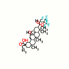 CC12CCC3C(=CC(=O)C4C3(C)CCC3C(C)(C)C(C(=O)OC(C)(C(F)(F)F)C(F)(F)F)CCC34C)C1C[C@@](C)(C(=O)O)CC2